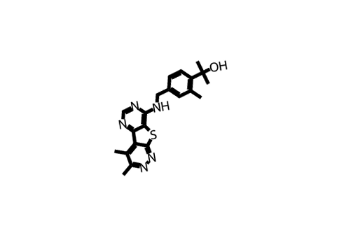 Cc1cc(CNc2ncnc3c2sc2nnc(C)c(C)c23)ccc1C(C)(C)O